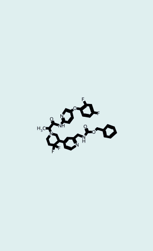 CC(C(=O)Nc1ccc(Oc2ccc(F)cc2F)cn1)N1CCC(F)(F)C(c2ccnc(CNC(=O)OCc3ccccc3)c2)C1